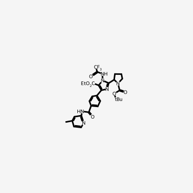 CCOC(=O)c1c(-c2ccc(C(=O)Nc3cc(C)ccn3)cc2)nc(C2CCCN2C(=O)OC(C)(C)C)n1NC(=O)C(F)(F)F